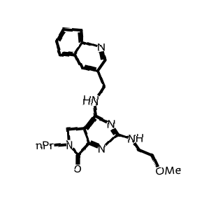 CCCN1Cc2c(NCc3cnc4ccccc4c3)nc(NCCOC)nc2C1=O